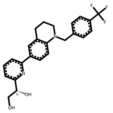 OC[C@@H](O)c1cccc(-c2ccc3c(c2)CCCN3Cc2ccc(C(F)(F)F)cc2)n1